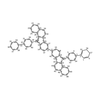 C1=CC(c2ccc(-n3c4ccc(-c5ccc6c(c5)c5ccc7ccccc7c5n6-c5ccc(-c6ccccc6)cc5)cc4c4ccc5ccccc5c43)cc2)=CCC1